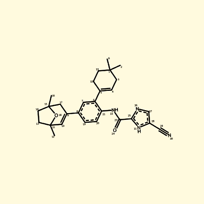 CC1(C)CC=C(c2cc(C3=CC4(C)CCC(C)(C3)O4)ccc2NC(=O)c2ncc(C#N)[nH]2)CC1